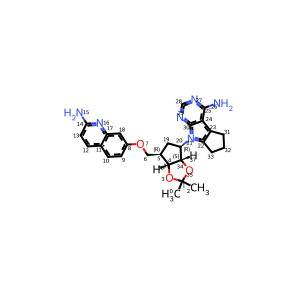 CC1(C)O[C@@H]2[C@@H](COc3ccc4ccc(N)nc4c3)C[C@@H](n3c4c(c5c(N)ncnc53)CCC4)[C@@H]2O1